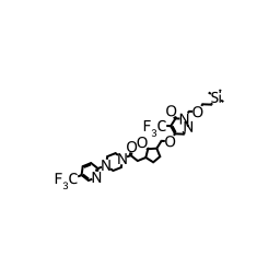 C[Si](C)(C)CCOCn1ncc(OCC2CCC(CC(=O)N3CCN(c4ccc(C(F)(F)F)cn4)CC3)C2=O)c(C(F)(F)F)c1=O